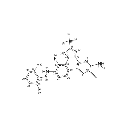 C=N/C=C\C(=N/CNC)c1sc(C(C)(C)C)nc1-c1cccc(NSc2c(F)cccc2F)c1F